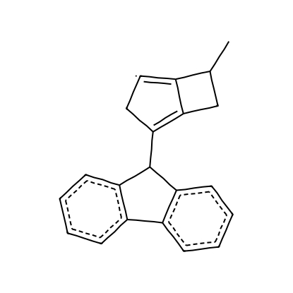 CC1CC2=C(C3c4ccccc4-c4ccccc43)C[C]=C21